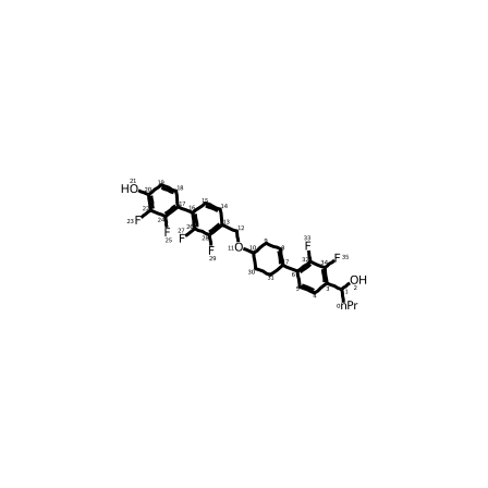 CCCC(O)c1ccc(C2=CCC(OCc3ccc(-c4ccc(O)c(F)c4F)c(F)c3F)CC2)c(F)c1F